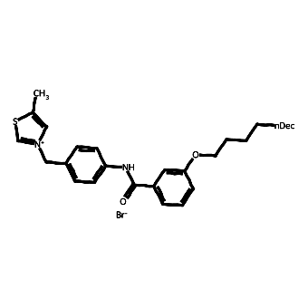 CCCCCCCCCCCCCCOc1cccc(C(=O)Nc2ccc(C[n+]3csc(C)c3)cc2)c1.[Br-]